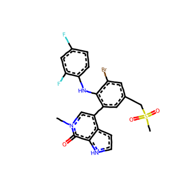 Cn1cc(-c2cc(CS(C)(=O)=O)cc(Br)c2Nc2ccc(F)cc2F)c2cc[nH]c2c1=O